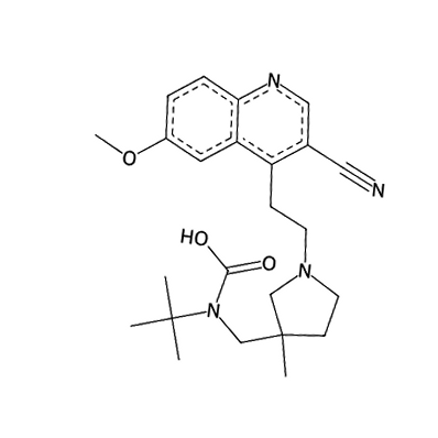 COc1ccc2ncc(C#N)c(CCN3CCC(C)(CN(C(=O)O)C(C)(C)C)C3)c2c1